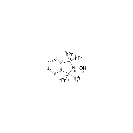 CCCC1(CCC)c2ccccc2C(CCC)(CCC)N1O